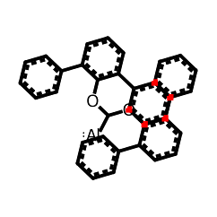 [Al][CH](Oc1c(-c2ccccc2)cccc1-c1ccccc1)Oc1c(-c2ccccc2)cccc1-c1ccccc1